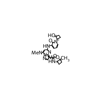 CNc1cc(Nc2cccn([C@H]3CC[C@@H]3O)c2=O)nc2c(C(=O)N[C@H]3CC[C@]3(C)OC)cnn12